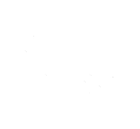 CCN(C=O)/C(CO)=N\N(C)c1cc(OC(C)C(F)(F)F)c2c(Oc3cc(O)ncc3Cl)nccc2c1